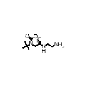 CC(C)(C)N(CC(=O)NCCN)C(=O)O